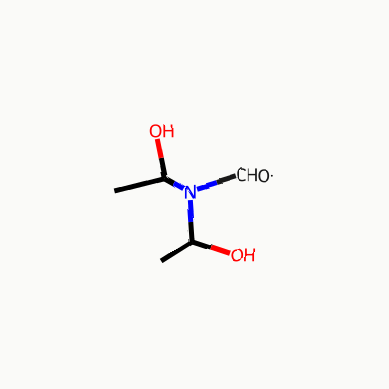 CC(O)N([C]=O)C(C)O